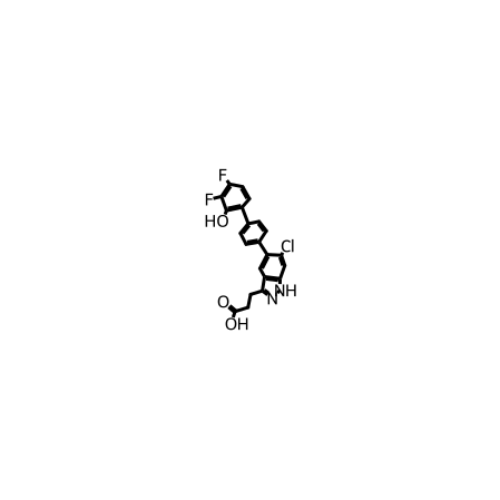 O=C(O)CCc1n[nH]c2cc(Cl)c(-c3ccc(-c4ccc(F)c(F)c4O)cc3)cc12